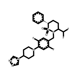 O=S1(=O)[C@H](c2ccccc2)CCC(C(F)F)N1Cc1cc(F)c(N2CCC(n3cnnc3)CC2)cc1F